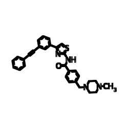 CN1CCN(Cc2ccc(C(=O)Nc3nc(-c4cccc(C#Cc5ccccc5)c4)cs3)cc2)CC1